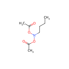 CCCCN(OC(C)=O)OC(C)=O